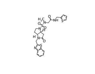 CN(CC(=O)NCc1cccs1)S(=O)(=O)N1CC[C@H]2[C@H]1CC(=O)N2Cc1nc2ccccc2s1